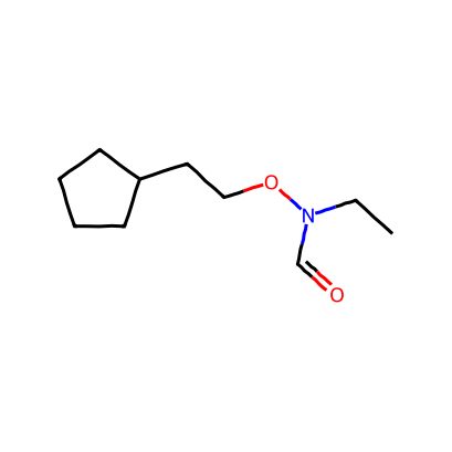 CCN(C=O)OCCC1CCCC1